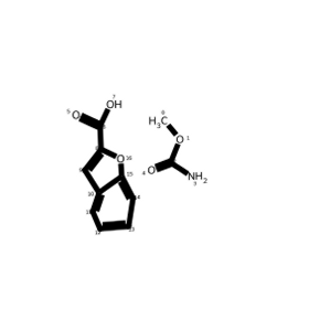 COC(N)=O.O=C(O)c1cc2ccccc2o1